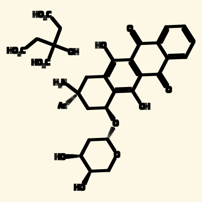 CC(=O)[C@]1(N)Cc2c(O)c3c(c(O)c2[C@@H](O[C@H]2C[C@H](O)[C@H](O)CO2)C1)C(=O)c1ccccc1C3=O.O=C(O)CC(O)(CC(=O)O)C(=O)O